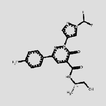 C[C@@H](CO)NC(=O)c1cc(-c2ccc(C(F)(F)F)cc2)nn(-c2cnn(C(F)F)c2)c1=O